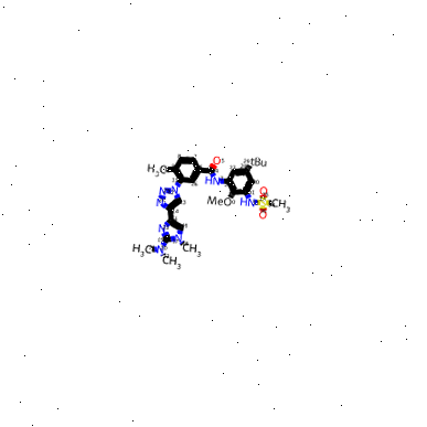 COc1c(NC(=O)c2ccc(C)c(-n3cc(-c4cn(C)c(N(C)C)n4)nn3)c2)cc(C(C)(C)C)cc1NS(C)(=O)=O